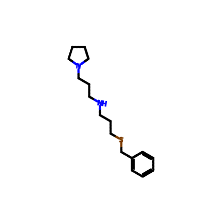 c1ccc(CSCCCNCCCN2CCCC2)cc1